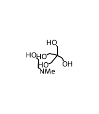 CNCCO.OCC(CO)(CO)CO